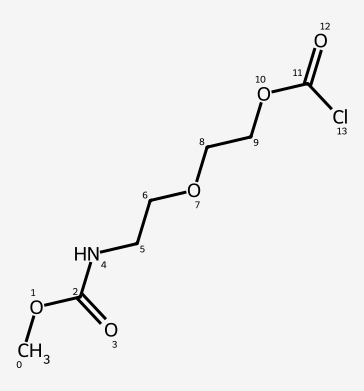 COC(=O)NCCOCCOC(=O)Cl